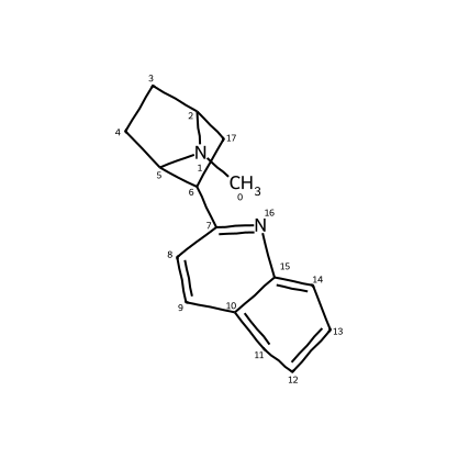 CN1C2CCC1C(c1ccc3ccccc3n1)C2